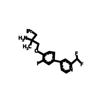 CC(C)CC(C)(N)COc1ccc(-c2ccnc(C(F)F)c2)cc1I